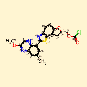 COc1cnc2c(-c3nc4ccc5c(c4s3)C[C@@H](COC(=O)Cl)O5)cc(C)cc2n1